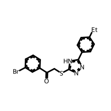 CCc1ccc(-c2nnc(SCC(=O)c3cccc(Br)c3)[nH]2)cc1